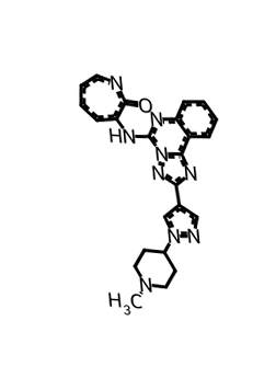 CN1CCC(n2cc(-c3nc4c5ccccc5nc(Nc5ccccnc5=O)n4n3)cn2)CC1